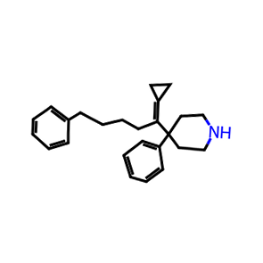 c1ccc(CCCCC(=C2CC2)C2(c3ccccc3)CCNCC2)cc1